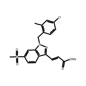 COC(=O)C=Cc1nn(Cc2ccc(Cl)cc2C)c2cc(S(C)(=O)=O)ccc12